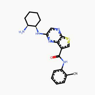 N#Cc1ccccc1NC(=O)c1csc2ncc(N[C@@H]3CCCC[C@@H]3N)nc12